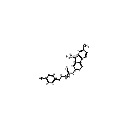 Cc1ccc2c3ccc(CC(=O)NCCc4ccc(F)cc4)cc3n(C)c2c1